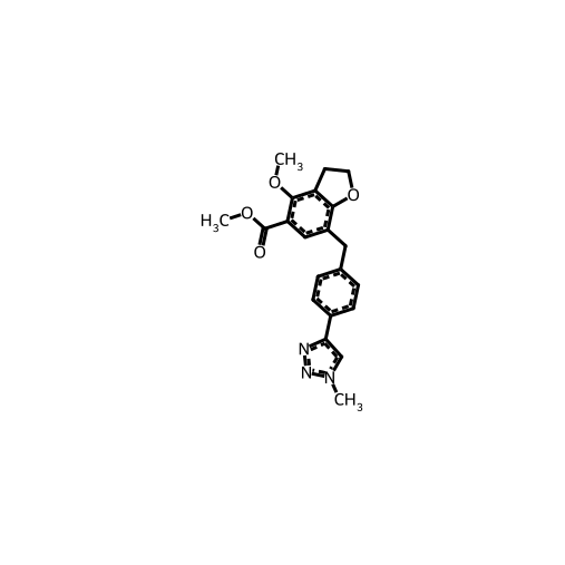 COC(=O)c1cc(Cc2ccc(-c3cn(C)nn3)cc2)c2c(c1OC)CCO2